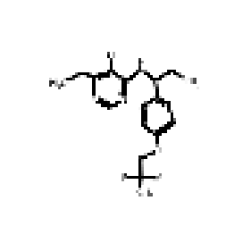 CCc1ncnc(NC(CC)c2ccc(OCC(C)(F)F)cc2)c1Cl